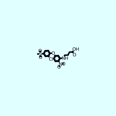 CS(=O)(=O)c1ccc(Oc2ccc([N+](=O)[O-])c(NCCCC(=O)O)c2)c(Cl)c1